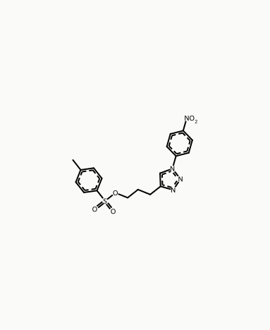 Cc1ccc(S(=O)(=O)OCCCc2cn(-c3ccc([N+](=O)[O-])cc3)nn2)cc1